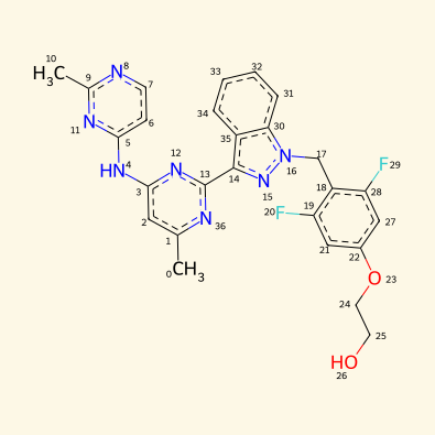 Cc1cc(Nc2ccnc(C)n2)nc(-c2nn(Cc3c(F)cc(OCCO)cc3F)c3ccccc23)n1